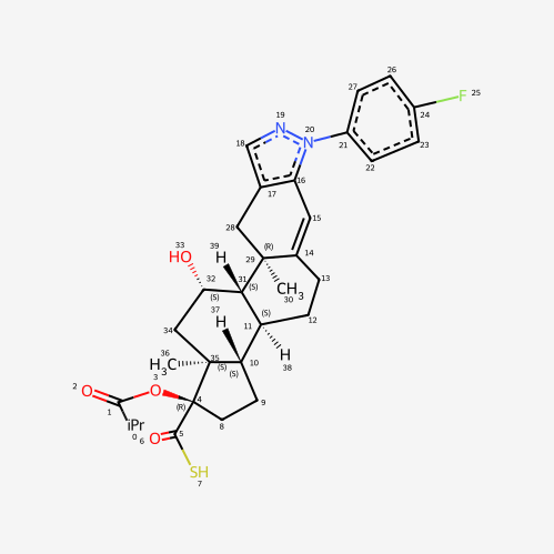 CC(C)C(=O)O[C@]1(C(=O)S)CC[C@H]2[C@@H]3CCC4=Cc5c(cnn5-c5ccc(F)cc5)C[C@]4(C)[C@H]3[C@@H](O)C[C@@]21C